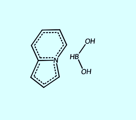 OBO.c1ccn2cccc2c1